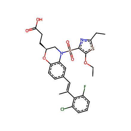 CCOc1sc(CC)nc1S(=O)(=O)N1C[C@H](CCC(=O)O)Oc2ccc(C=C(C)c3c(F)cccc3Cl)cc21